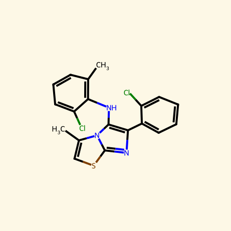 Cc1cccc(Cl)c1Nc1c(-c2ccccc2Cl)nc2scc(C)n12